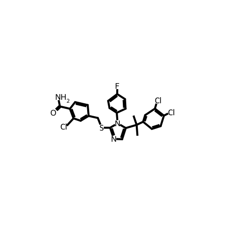 CC(C)(c1ccc(Cl)c(Cl)c1)c1cnc(SCc2ccc(C(N)=O)c(Cl)c2)n1-c1ccc(F)cc1